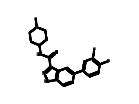 CN1CCC(NC(=O)c2n[nH]c3ccc(-c4ccc(F)c(F)c4)cc23)CC1